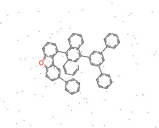 C/C=C\C=C/c1cc(-c2cc(-c3ccccc3)cc(-c3ccccc3)c2)c2ccccc2c1-c1cccc2oc3ccc(-c4ccccc4)cc3c12